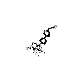 CC(C)NCc1ccc(-c2ccc([C@H]3OC(C)(C)N(C(=O)OC(C)(C)C)[C@H]3CF)cc2)cn1